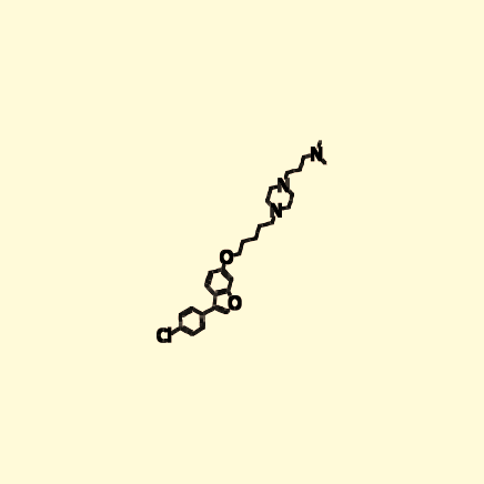 CN(C)CCCN1CCN(CCCCCOc2ccc3c(-c4ccc(Cl)cc4)coc3c2)CC1